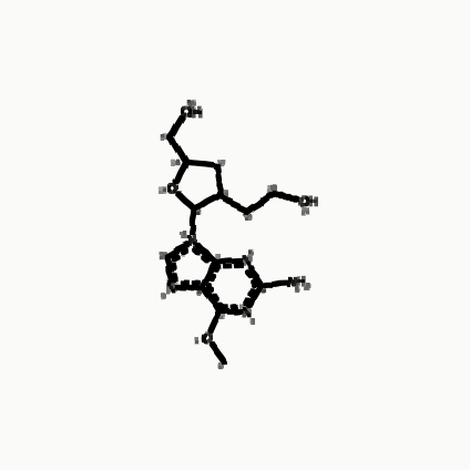 COc1nc(N)nc2c1ncn2C1OC(CO)CC1CCO